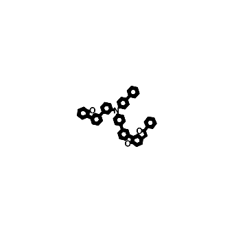 c1ccc(-c2ccc(N(c3ccc(-c4ccc5oc6ccc7c(c6c5c4)OC(c4ccccc4)C7)cc3)c3cccc(-c4cccc5c4oc4ccccc45)c3)cc2)cc1